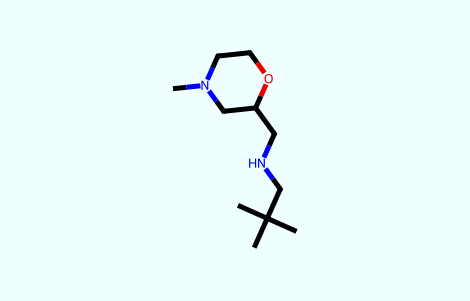 CN1CCOC(CNCC(C)(C)C)C1